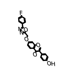 O=c1c(-c2ccc(O)cc2)coc2cc(OCc3nnc(-c4ccc(F)cc4)o3)ccc12